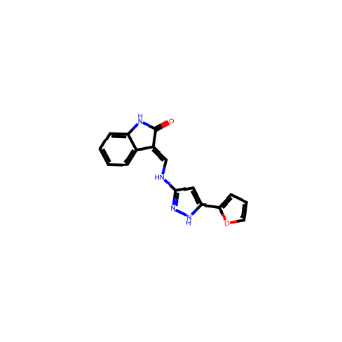 O=C1Nc2ccccc2/C1=C\Nc1cc(-c2ccco2)[nH]n1